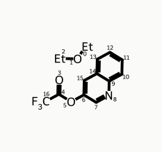 CCOCC.O=C(Oc1cnc2ccccc2c1)C(F)(F)F